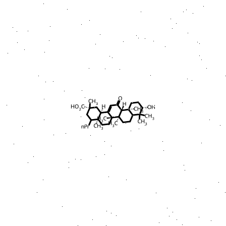 CCCC1C[C@](C)(C(=O)O)C[C@H]2C3=CC(=O)[C@@H]4[C@@]5(C)CC[C@H](O)C(C)(C)C5CC[C@@]4(C)[C@]3(C)CC[C@@]12C